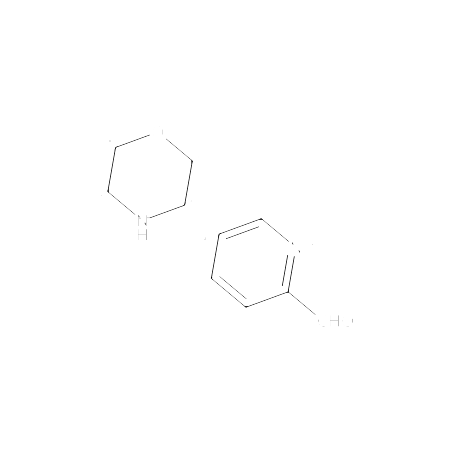 O=Cc1ccc([C@H]2COCCN2)cn1